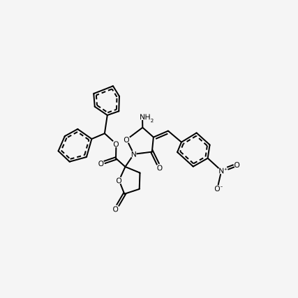 NC1ON(C2(C(=O)OC(c3ccccc3)c3ccccc3)CCC(=O)O2)C(=O)C1=Cc1ccc([N+](=O)[O-])cc1